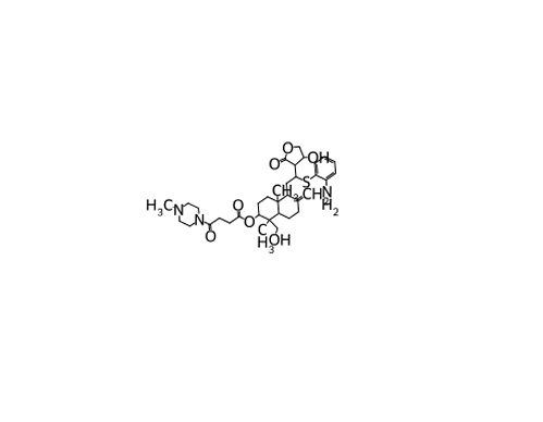 C=C1CCC2C(C)(CO)C(OC(=O)CCC(=O)N3CCN(C)CC3)CCC2(C)C1CC(Sc1ccccc1N)C1C(=O)OCC1O